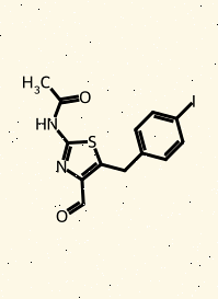 CC(=O)Nc1nc(C=O)c(Cc2ccc(I)cc2)s1